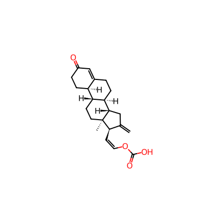 C=C1C[C@H]2[C@@H]3CCC4=CC(=O)CC[C@@H]4[C@H]3CC[C@]2(C)[C@@H]1/C=C\OC(=O)O